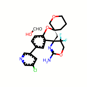 NC1=N[C@@]2(C[C@]3(CCCOC3)Oc3ccc(-c4cncc(Cl)c4)cc32)C(F)(F)CO1.O=CO